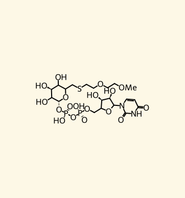 COCCOCCSCC1O[C@H](OP(=O)(O)OP(=O)(O)OCC2OC(n3ccc(=O)[nH]c3=O)[C@H](O)[C@@H]2O)C(O)[C@@H](O)C1O